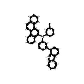 Cc1cccc(N(c2cccc(-c3cccc4c3sc3ccccc34)c2)c2cc3c4ccccc4ccc3c3ccccc23)c1